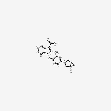 Cc1nc(N2CC3C[C@H]3C2)ncc1Cn1cc(C(=O)O)c2cncnc21